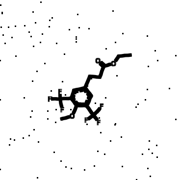 CCOC(=O)CCc1cc(C(F)(F)F)c(OC)c(C(F)(F)F)c1